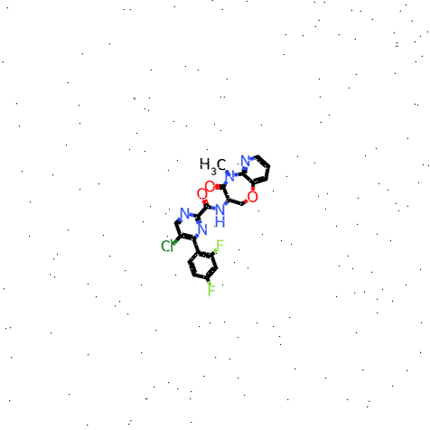 CN1C(=O)C(NC(=O)c2ncc(Cl)c(-c3ccc(F)cc3F)n2)COc2cccnc21